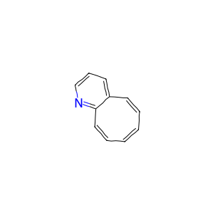 C1=CC=Cc2ncccc2C=C1